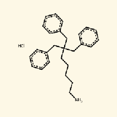 Cl.NCCCCCC(Cc1ccccc1)(Cc1ccccc1)Cc1ccccc1